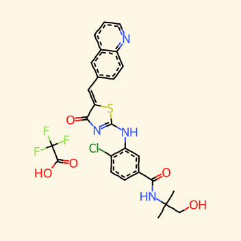 CC(C)(CO)NC(=O)c1ccc(Cl)c(NC2=NC(=O)/C(=C/c3ccc4ncccc4c3)S2)c1.O=C(O)C(F)(F)F